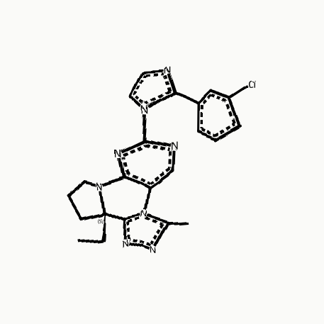 CC[C@@]12CCCN1c1nc(-n3ccnc3-c3cccc(Cl)c3)ncc1-n1c(C)nnc12